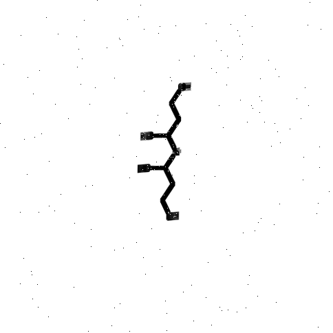 OCCC(O)[N]C(O)CCO